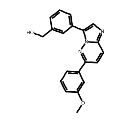 COc1cccc(-c2ccc3ncc(-c4cccc(CO)c4)n3n2)c1